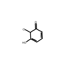 O=C1C=CC=C(O)C1Cl